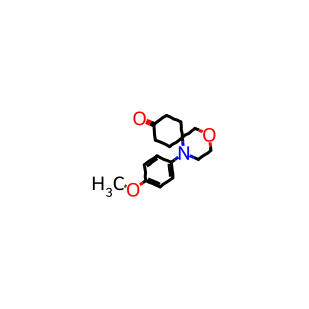 COc1ccc(N2CCOCC23CCC(=O)CC3)cc1